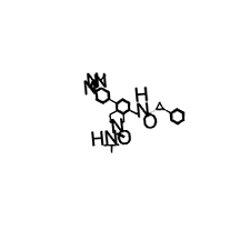 Cn1nnc2ccc(-c3ccc(CNC(=O)[C@@H]4C[C@H]4c4ccccc4)c4c3CCN(C(=O)NC(C)(C)C)C4)cc21